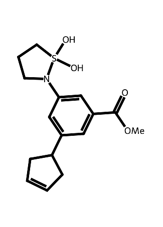 COC(=O)c1cc(C2CC=CC2)cc(N2CCCS2(O)O)c1